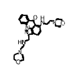 O=c1c2ccccc2n2nc(CNCCN3CCOCC3)c3ccc(NCCN4CCOCC4)c1c32